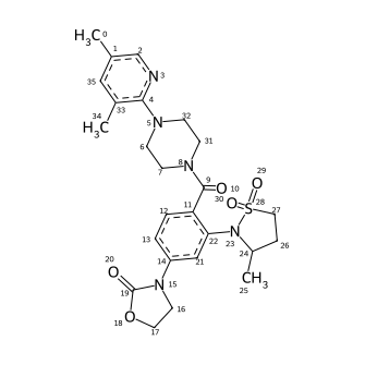 Cc1cnc(N2CCN(C(=O)c3ccc(N4CCOC4=O)cc3N3C(C)CCS3(=O)=O)CC2)c(C)c1